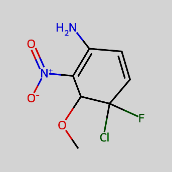 COC1C([N+](=O)[O-])=C(N)C=CC1(F)Cl